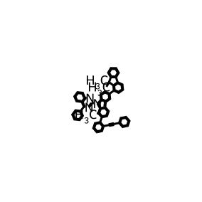 Cc1c(-c2ccccc2C#Cc2ccccc2)ccc2c3cc(-c4cccc5c4C(C)(C)c4ccccc4-5)ccc3n(-c3nc(-c4ccccc4)c4ccccc4n3)c12